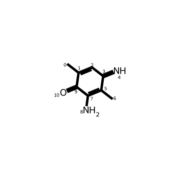 CC1=CC(=N)C(C)=C(N)C1=O